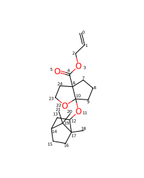 C=CCOC(=O)C12CCCC1(OC1CC3CCC1(C)C3(C)C)OCC2